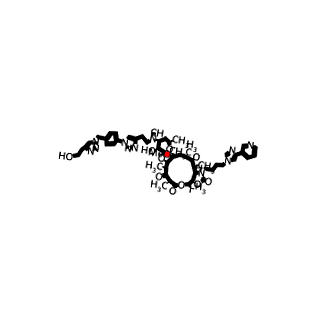 CO[C@]1(C)C[C@@H](C)C(=O)[C@H](C)[C@@H]2N(CCCCn3cnc(-c4cccnc4)c3)C(=O)O[C@]2(C)[C@@H](I)OC(=O)[C@H](C)C(=O)[C@H](C)[C@H]1O[C@@H]1O[C@H](C)C[C@H](N(C)CCc2cn(-c3ccc(Cn4cc(CCO)nn4)cc3)nn2)[C@H]1O